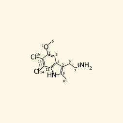 COc1cc2c(CCN)c(C)[nH]c2c(Cl)c1Cl